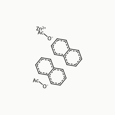 CC(=O)[O-].CC(=O)[O-].[Zn+2].c1ccc2ccccc2c1.c1ccc2ccccc2c1